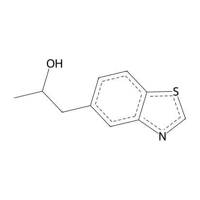 CC(O)Cc1ccc2scnc2c1